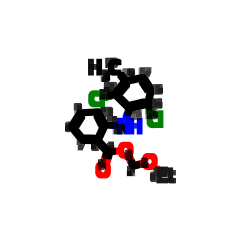 CCOCOC(=O)c1ccccc1Nc1c(Cl)ccc(C)c1Cl